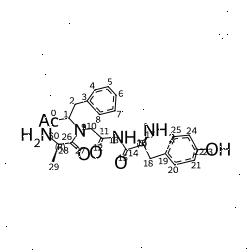 CC(=O)C(Cc1ccccc1)N(CC(=O)NC(=O)[C@@H](N)Cc1ccc(O)cc1)C(=O)[C@@H](C)N